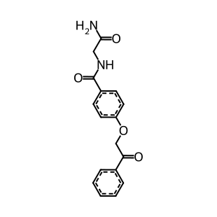 NC(=O)CNC(=O)c1ccc(OCC(=O)c2ccccc2)cc1